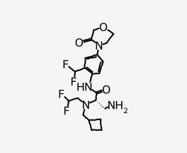 NC[C@@H](C(=O)Nc1ccc(N2CCOCC2=O)cc1C(F)F)N(CC(F)F)CC1CCC1